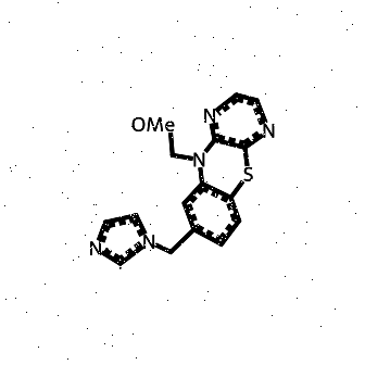 COCN1c2cc(Cn3[c]ncc3)ccc2Sc2nccnc21